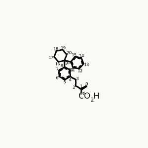 C=C(CCc1cccc(C2(c3ccccc3)CCCCC2)c1)C(=O)O